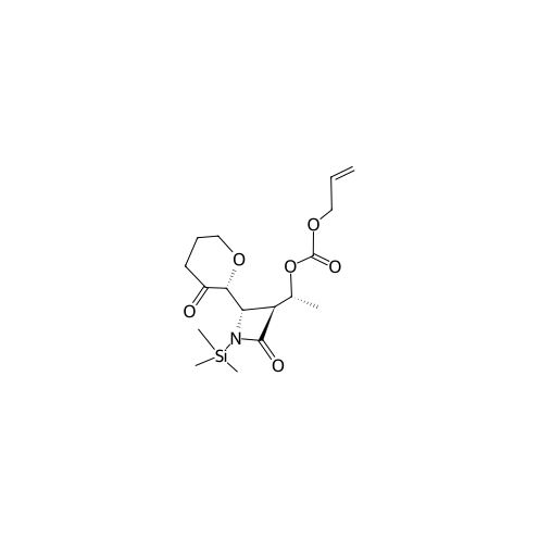 C=CCOC(=O)O[C@H](C)[C@H]1C(=O)N([Si](C)(C)C)[C@@H]1[C@H]1OCCCC1=O